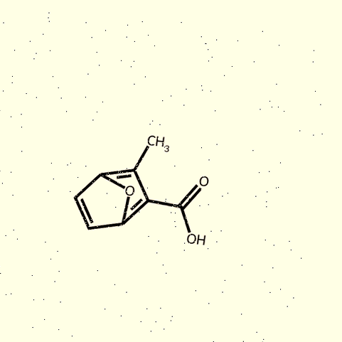 Cc1c(C(=O)O)c2ccc1o2